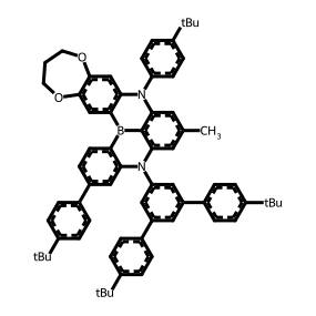 Cc1cc2c3c(c1)N(c1ccc(C(C)(C)C)cc1)c1cc4c(cc1B3c1ccc(-c3ccc(C(C)(C)C)cc3)cc1N2c1cc(-c2ccc(C(C)(C)C)cc2)cc(-c2ccc(C(C)(C)C)cc2)c1)OCCCO4